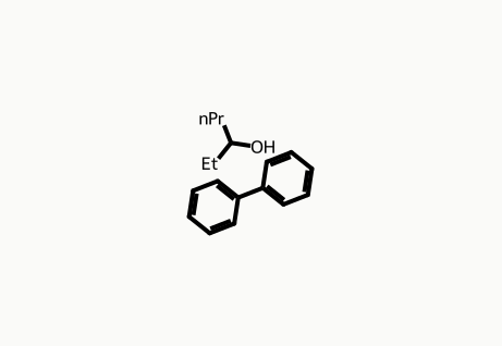 CCCC(O)CC.c1ccc(-c2ccccc2)cc1